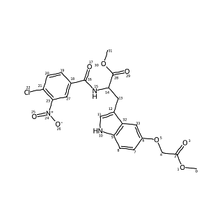 COC(=O)COc1ccc2[nH]cc(CC(NC(=O)c3ccc(Cl)c([N+](=O)[O-])c3)C(=O)OC)c2c1